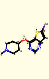 CN1CCC(Oc2ncnc3cc(I)sc23)CC1